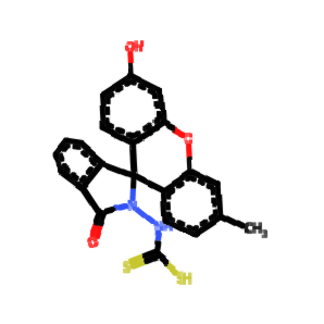 Cc1ccc2c(c1)Oc1cc(O)ccc1C21c2ccccc2C(=O)N1NC(=S)S